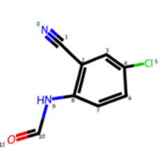 N#Cc1cc(Cl)ccc1NC=O